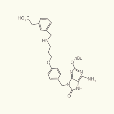 CCCCOc1nc(N)c2[nH]c(=O)n(Cc3ccc(OCCCNCc4cccc(CC(=O)O)c4)cc3)c2n1